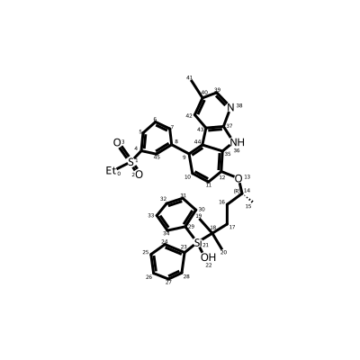 CCS(=O)(=O)c1cccc(-c2ccc(O[C@H](C)CCC(C)(C)[Si](O)(c3ccccc3)c3ccccc3)c3[nH]c4ncc(C)cc4c23)c1